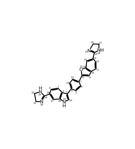 c1cc2c(-c3ccc(-c4cc5ccc(C6=NCCN6)cc5o4)cc3)c[nH]c2cc1C1=NCCN1